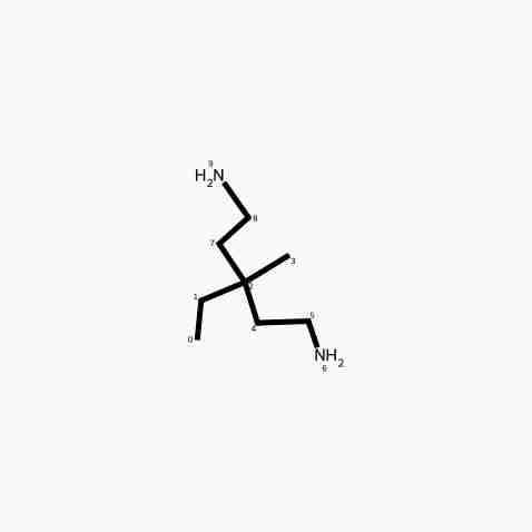 CCC(C)(CCN)CCN